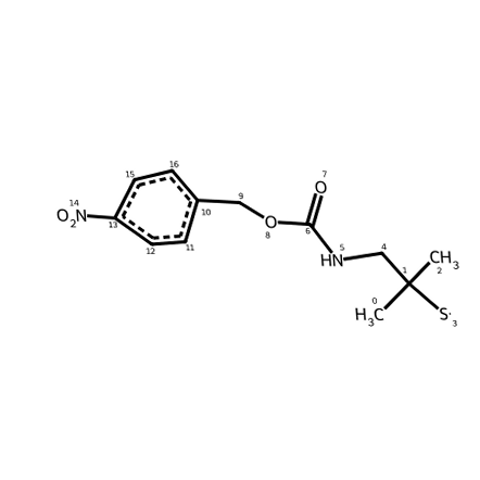 CC(C)([S])CNC(=O)OCc1ccc([N+](=O)[O-])cc1